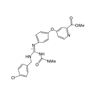 CNC(=O)N/C(=N\c1ccc(Oc2ccnc(C(=O)OC)c2)cc1)NCc1ccc(Cl)cc1